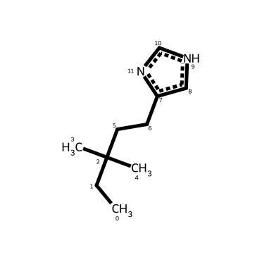 CCC(C)(C)CCc1c[nH]cn1